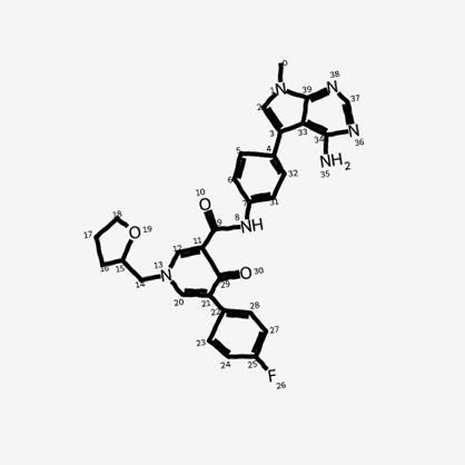 Cn1cc(-c2ccc(NC(=O)c3cn(CC4CCCO4)cc(-c4ccc(F)cc4)c3=O)cc2)c2c(N)ncnc21